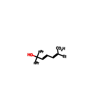 CCCC(O)(C=CC=C(CC)C(=O)O)CCC